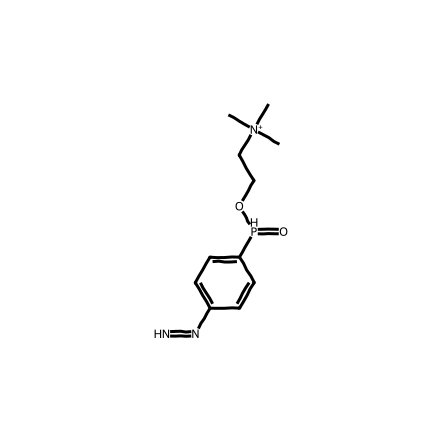 C[N+](C)(C)CCO[PH](=O)c1ccc(N=N)cc1